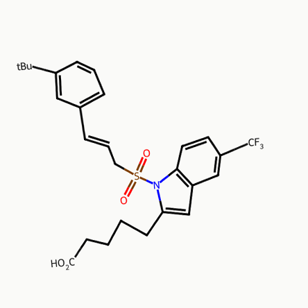 CC(C)(C)c1cccc(C=CCS(=O)(=O)n2c(CCCCC(=O)O)cc3cc(C(F)(F)F)ccc32)c1